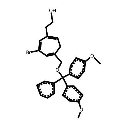 COc1ccc(C(OCC2=CC(Br)=CC(CCO)=CC2)(c2ccccc2)c2ccc(OC)cc2)cc1